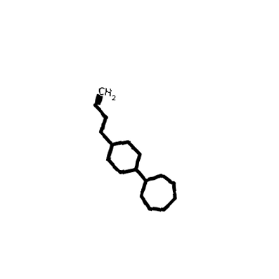 C=CCCC1CCC(C2CCCCCC2)CC1